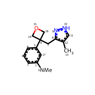 CNc1cccc(C2(Cc3n[nH]cc3C)COC2)c1